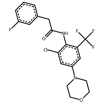 O=C(Cc1cccc(F)c1)Nc1c(Cl)cc(N2CCOCC2)cc1C(F)(F)F